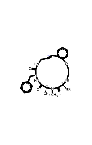 CCC(C)[C@@H]1NCCOc2ccccc2/C=C/CNC(=O)N(Cc2ccccc2)NC(=O)[C@@H](C)N(C)C1=O